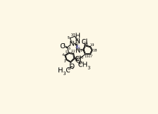 COc1ccc(C(=O)N2CCN/C2=N\c2c(Cl)cccc2Cl)cc1OC